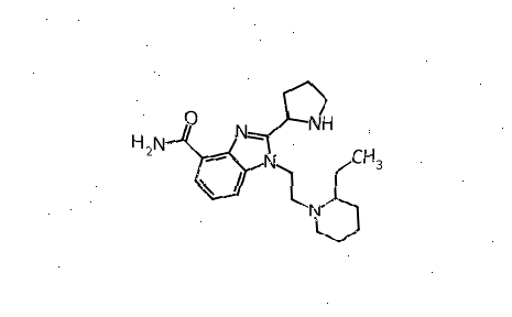 CCC1CCCCN1CCn1c(C2CCCN2)nc2c(C(N)=O)cccc21